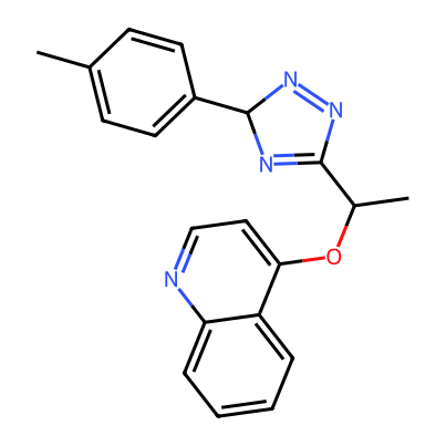 Cc1ccc(C2N=NC(C(C)Oc3ccnc4ccccc34)=N2)cc1